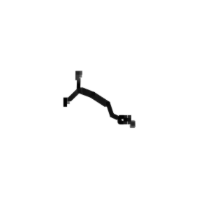 CCC=C=C(F)F